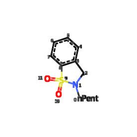 CCCCCN1[CH]c2ccccc2S1(=O)=O